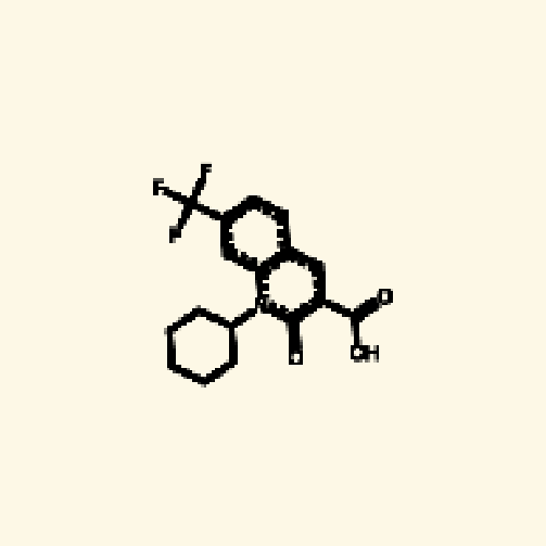 O=C(O)c1cc2ccc(C(F)(F)F)cc2n(C2CCCCC2)c1=O